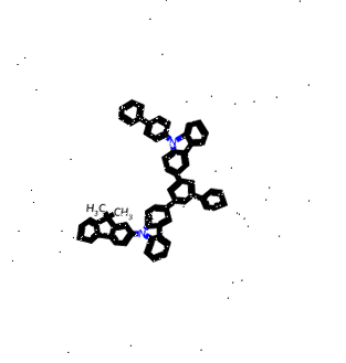 CC1(C)c2ccccc2-c2ccc(-n3c4ccccc4c4cc(-c5cc(-c6ccccc6)cc(-c6ccc7c(c6)c6ccccc6n7-c6ccc(-c7ccccc7)cc6)c5)ccc43)cc21